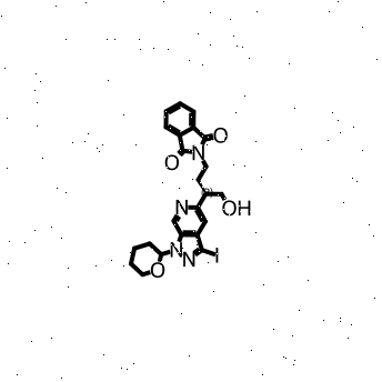 O=C1c2ccccc2C(=O)N1CC[C@@H](CO)c1cc2c(I)nn(C3CCCCO3)c2cn1